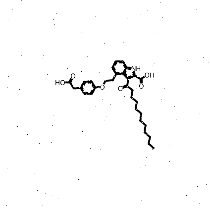 CCCCCCCCCCCC(=O)c1c(C(=O)O)[nH]c2cccc(CCOc3ccc(CC(=O)O)cc3)c12